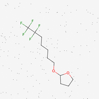 FC(F)(F)C(F)(F)CCCCCOC1CCCO1